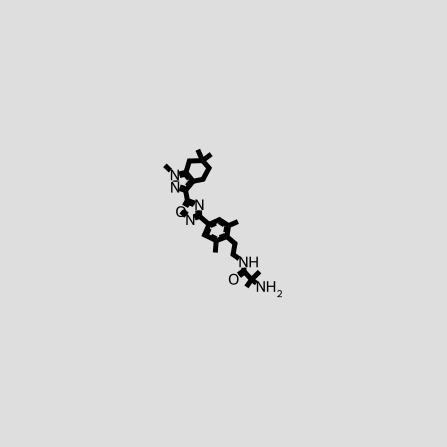 Cc1cc(-c2noc(-c3nn(C)c4c3CCC(C)(C)C4)n2)cc(C)c1CCNC(=O)C(C)(C)N